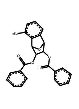 CCCCc1cccc2c1C1OC2C(OC(=O)c2ccccc2)C1OC(=O)c1ccccc1